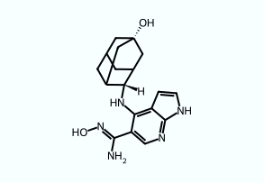 NC(=NO)c1cnc2[nH]ccc2c1N[C@H]1C2CC3CC1C[C@@](O)(C3)C2